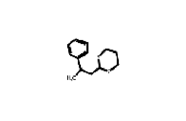 CC(CC1SCCCS1)c1ccccc1